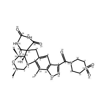 C[C@@H]1CN2c3c(cc4c(C(=O)N5CCS(=O)(=O)CC5)noc4c3F)CC3(C(=O)NC(=O)NC3=O)[C@H]2[C@H](C)O1